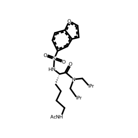 CC(=O)NCCCC[C@H](NS(=O)(=O)c1ccc2occc2c1)C(=O)N(CC(C)C)CC(C)C